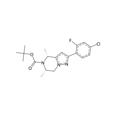 C[C@@H]1c2cc(-c3ccc(Cl)cc3F)nn2C[C@H](C)N1C(=O)OC(C)(C)C